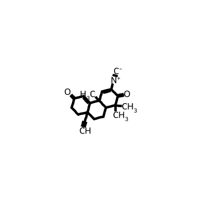 [C-]#[N+]C1=CC2(C)C3=CC(=O)CCC3(C#C)CCC2C(C)(C)C1=O